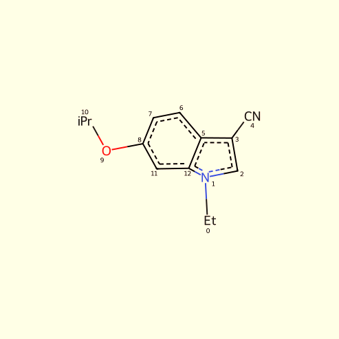 CCn1cc(C#N)c2ccc(OC(C)C)cc21